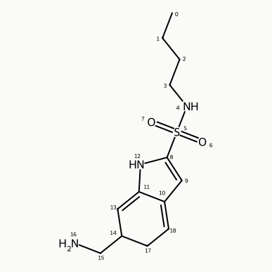 CCCCNS(=O)(=O)c1cc2c([nH]1)=CC(CN)CC=2